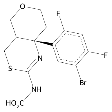 O=C(O)NC1=N[C@@]2(c3cc(Br)c(F)cc3F)CCOCC2CS1